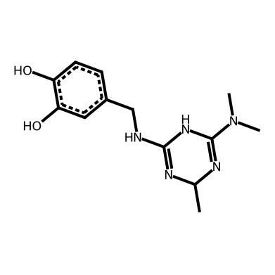 CC1N=C(NCc2ccc(O)c(O)c2)NC(N(C)C)=N1